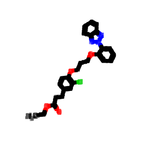 CCOC(=O)CCc1ccc(OCCCOc2ccccc2-n2nc3ccccc3n2)c(Cl)c1